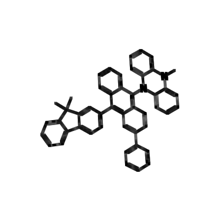 CN1c2ccccc2N(c2c3ccccc3c(-c3ccc4c(c3)C(C)(C)c3ccccc3-4)c3cc(-c4ccccc4)ccc23)c2ccccc21